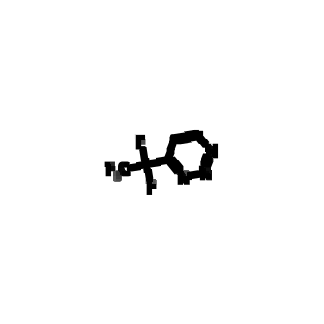 FC(F)(F)C(F)(F)c1c[c]nnn1